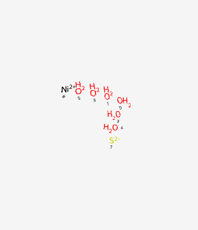 O.O.O.O.O.O.[Ni+2].[S-2]